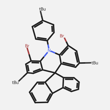 CC(C)(C)c1ccc(N2c3c(Br)cc(C(C)(C)C)cc3C3(c4ccccc4-c4ccccc43)c3cc(C(C)(C)C)cc(Br)c32)cc1